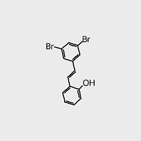 Oc1ccccc1/C=C/c1cc(Br)cc(Br)c1